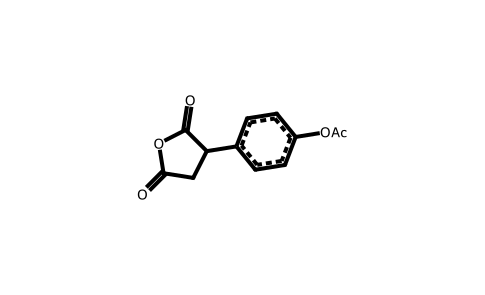 CC(=O)Oc1ccc(C2CC(=O)OC2=O)cc1